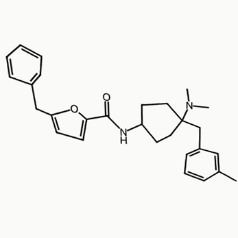 Cc1cccc(CC2(N(C)C)CCC(NC(=O)c3ccc(Cc4ccccc4)o3)CC2)c1